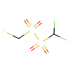 O=S(=O)(CF)S(=O)(=O)C(F)F